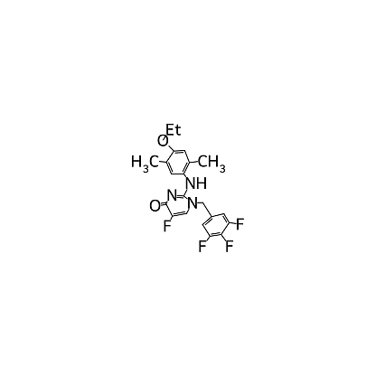 CCOc1cc(C)c(Nc2nc(=O)c(F)cn2Cc2cc(F)c(F)c(F)c2)cc1C